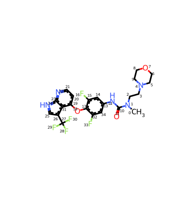 CN(CCN1CCOCC1)C(=O)Nc1cc(F)c(Oc2ccnc3[nH]cc(C(F)(F)F)c23)c(F)c1